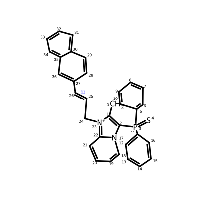 Cc1c(P(=S)(c2ccccc2)c2ccccc2)n2ccccc2[n+]1C/C=C/c1ccc2ccccc2c1